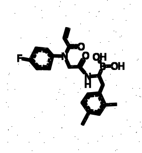 C=CC(=O)N(CC(=O)NC(Cc1ccc(C)cc1C)B(O)O)c1ccc(F)cc1